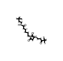 CC(C)(C)CCNC(=O)CCCCCN1C(=O)CC(SCCC(=O)C(C)(C)C)C1=O